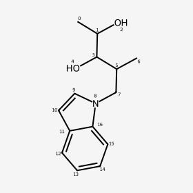 CC(O)C(O)C(C)Cn1ccc2ccccc21